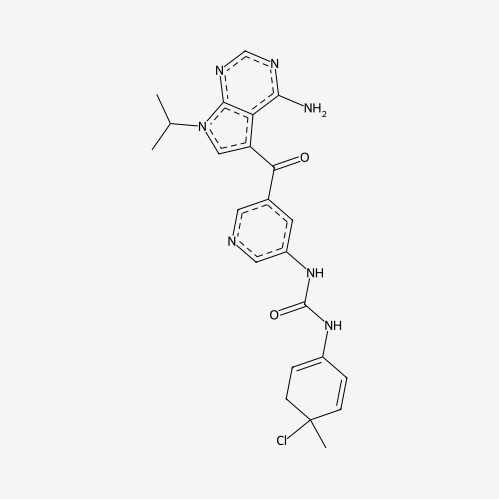 CC(C)n1cc(C(=O)c2cncc(NC(=O)NC3=CCC(C)(Cl)C=C3)c2)c2c(N)ncnc21